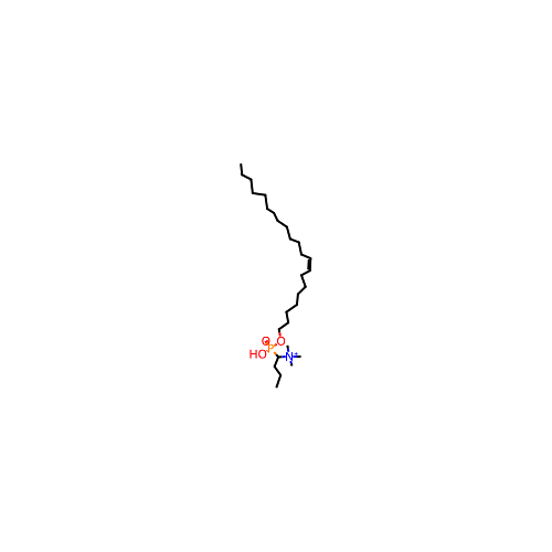 CCCCCCCCCCCC/C=C\CCCCCCCOP(=O)(O)C(CCC)[N+](C)(C)C